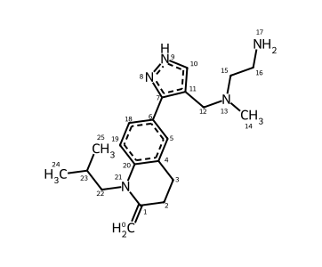 C=C1CCc2cc(-c3n[nH]cc3CN(C)CCN)ccc2N1CC(C)C